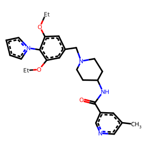 CCOc1cc(CN2CCC(NC(=O)c3cncc(C)c3)CC2)cc(OCC)c1-n1cccc1